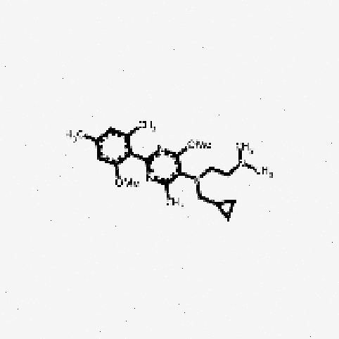 COc1cc(C)cc(C)c1-c1nc(C)c(N(CCN(C)C)CC2CC2)c(OC)n1